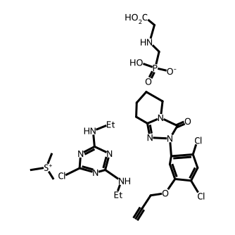 C#CCOc1cc(-n2nc3n(c2=O)CCCC3)c(Cl)cc1Cl.CCNc1nc(Cl)nc(NCC)n1.C[S+](C)C.O=C(O)CNCP(=O)([O-])O